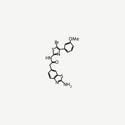 COc1cccc(-c2nc(NC(=O)Cc3ccc4nc(N)sc4c3)sc2Br)c1